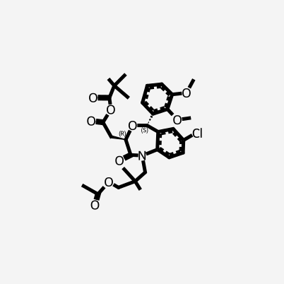 COc1cccc([C@H]2O[C@H](CC(=O)OC(=O)C(C)(C)C)C(=O)N(CC(C)(C)COC(C)=O)c3ccc(Cl)cc32)c1OC